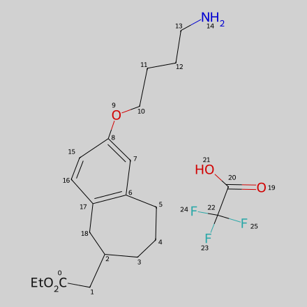 CCOC(=O)CC1CCCc2cc(OCCCCN)ccc2C1.O=C(O)C(F)(F)F